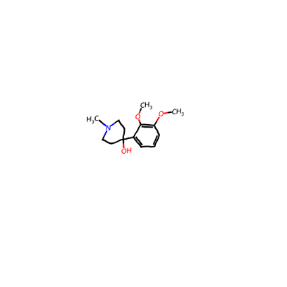 COc1cccc(C2(O)CCN(C)CC2)c1OC